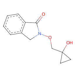 O=C1c2ccccc2CN1OCC1(O)CC1